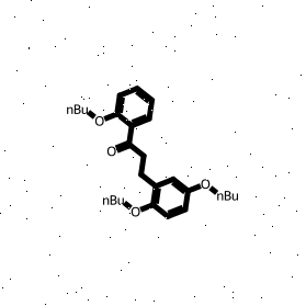 CCCCOc1ccc(OCCCC)c(CCC(=O)c2ccccc2OCCCC)c1